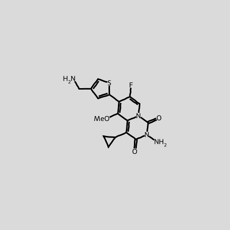 COc1c(-c2cc(CN)cs2)c(F)cn2c(=O)n(N)c(=O)c(C3CC3)c12